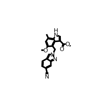 COC(=O)c1c[nH]c2c(C)cc(OC)c(Cn3cc4ccc(C#N)cc4n3)c12